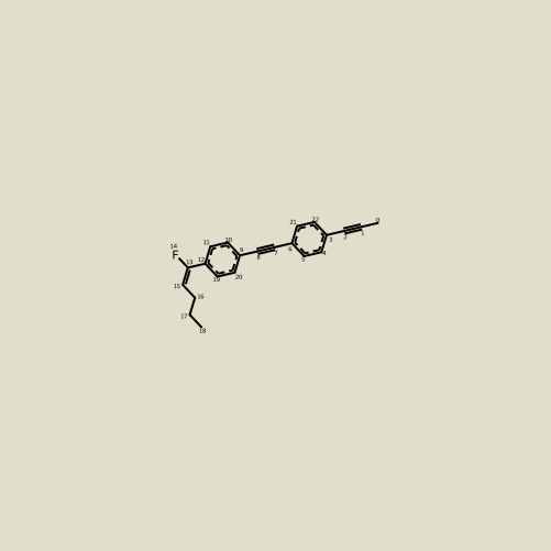 CC#Cc1ccc(C#Cc2ccc(/C(F)=C\CCC)cc2)cc1